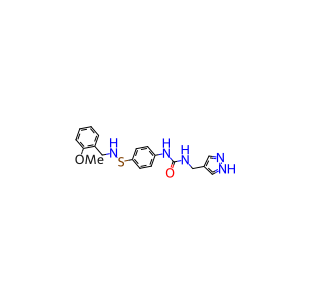 COc1ccccc1CNSc1ccc(NC(=O)NCc2cn[nH]c2)cc1